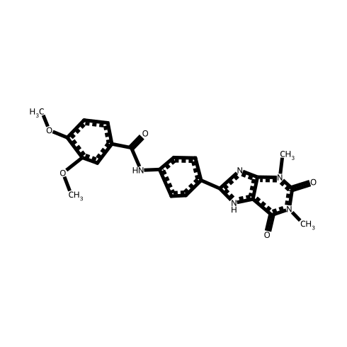 COc1ccc(C(=O)Nc2ccc(-c3nc4c([nH]3)c(=O)n(C)c(=O)n4C)cc2)cc1OC